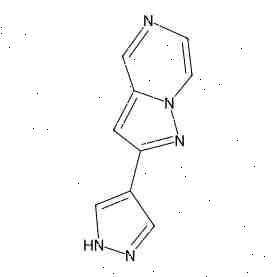 c1cn2nc(-c3cn[nH]c3)cc2cn1